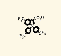 CC(=C[Si](c1ccc(C(F)(F)F)cc1)(c1ccc(C(F)(F)F)cc1)c1ccc(C(F)(F)F)cc1)C(=O)O